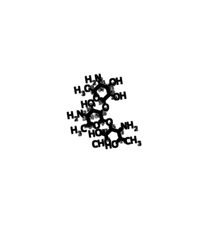 CC(O)C(N)C(O[C@H]1O[C@H](C)[C@@H](N)[C@H](O)[C@@H]1O[C@H]1O[C@H](C)[C@@H](N)[C@H](O)[C@@H]1O)C(O)C=O